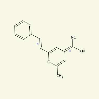 [C-]#[N+]/C(C#N)=C1/C=C(C)OC(/C=C/c2ccccc2)=C1